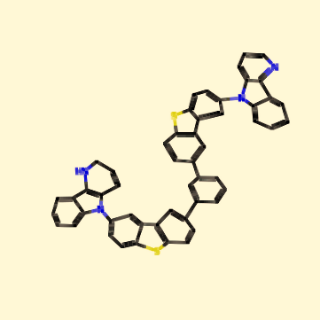 C1=Cc2c(c3ccccc3n2-c2ccc3sc4ccc(-c5cccc(-c6ccc7sc8ccc(-n9c%10ccccc%10c%10ncccc%109)cc8c7c6)c5)cc4c3c2)NC1